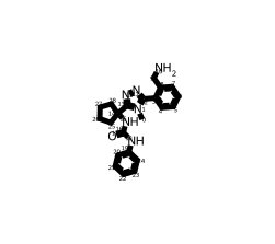 Cn1c(-c2ccccc2CN)nnc1C1(NC(=O)Nc2ccccc2)CCCC1